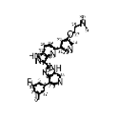 Cc1cc(F)cc(-c2cncc3[nH]c(-c4n[nH]c5ccc(-c6cncc(OCCN(C)C)c6)nc45)nc23)c1